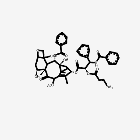 CC(=O)OC1C(=O)[C@@]2(C)C([C@H](OC(=O)c3ccccc3)[C@]3(O)C[C@H](OC(=O)[C@H](OC(=O)CCN)C(NC(=O)c4ccccc4)c4ccccc4)C(C)=C1C3(C)C)C1(OC(C)=O)COC1C[C@@H]2O